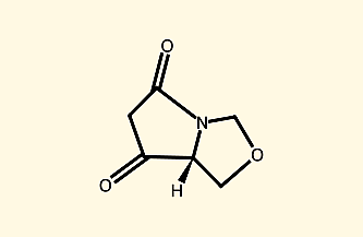 O=C1CC(=O)N2COC[C@H]12